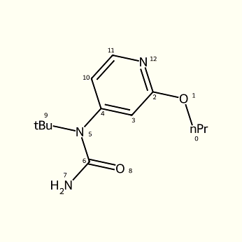 CCCOc1cc(N(C(N)=O)C(C)(C)C)ccn1